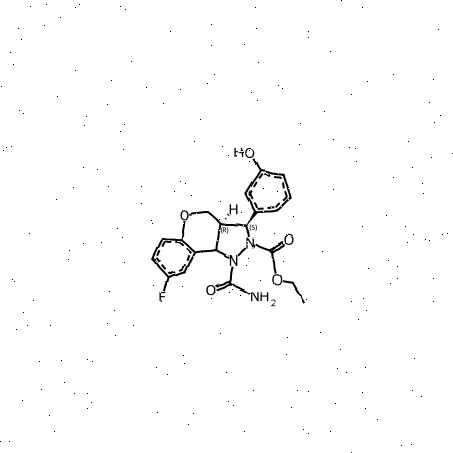 CCOC(=O)N1[C@H](c2cccc(O)c2)[C@@H]2COc3ccc(F)cc3C2N1C(N)=O